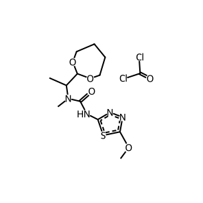 COc1nnc(NC(=O)N(C)C(C)C2OCCCCO2)s1.O=C(Cl)Cl